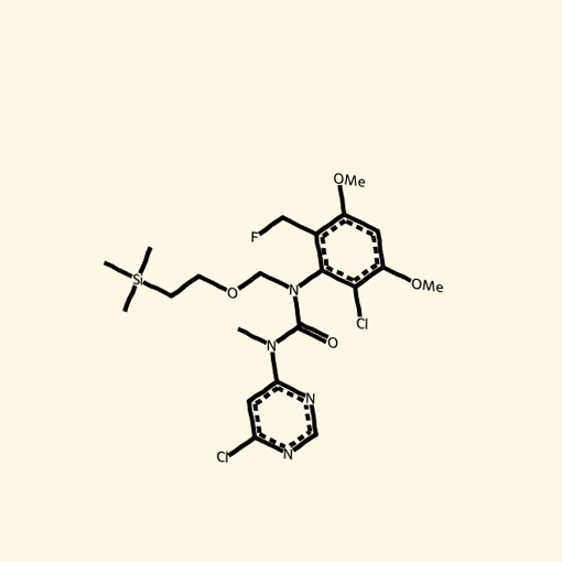 COc1cc(OC)c(CF)c(N(COCC[Si](C)(C)C)C(=O)N(C)c2cc(Cl)ncn2)c1Cl